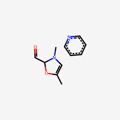 CC1=CN(C)C(C=O)O1.c1ccncc1